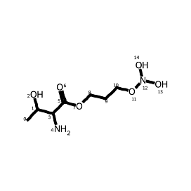 CC(O)C(N)C(=O)OCCCON(O)O